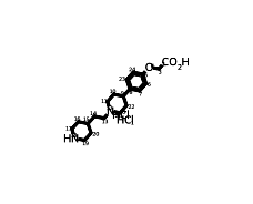 Cl.Cl.O=C(O)COc1ccc(C2CCN(CCC3CCNCC3)CC2)cc1